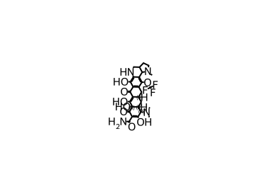 CN1CCC2CNc3c(O)c4c(c(OC(F)(F)F)c3C21)C[C@@H]1C[C@@H]2[C@@H](N(C)C)C(O)=C(C(N)=O)C(=O)[C@]2(O)C(O)=C1C4=O